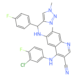 Cc1cc2ncc(C#N)c(Nc3ccc(F)c(Cl)c3)c2cc1NC(c1ccc(F)cc1)c1cn(C)nn1